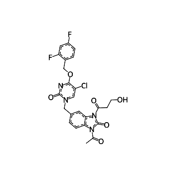 CC(=O)n1c(=O)n(C(=O)CCO)c2cc(Cn3cc(Cl)c(OCc4ccc(F)cc4F)nc3=O)ccc21